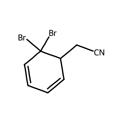 N#CCC1C=CC=CC1(Br)Br